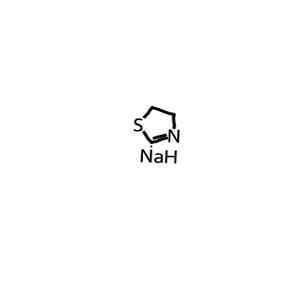 [C]1=NCCS1.[NaH]